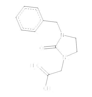 C=C(C)CN1CCN(Cc2ccccc2)C1=O